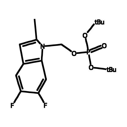 Cc1cc2cc(F)c(F)cc2n1COP(=O)(OC(C)(C)C)OC(C)(C)C